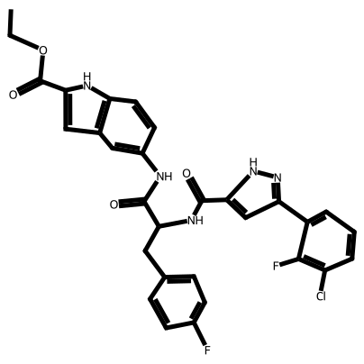 CCOC(=O)c1cc2cc(NC(=O)C(Cc3ccc(F)cc3)NC(=O)c3cc(-c4cccc(Cl)c4F)n[nH]3)ccc2[nH]1